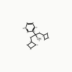 OC(CC1CCC1)(CC1CCC1)c1cccnc1